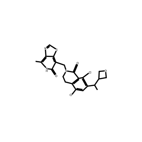 Cc1[nH]c(=O)c(CN2CCc3c(Cl)cc(C(C)C4COC4)c(Cl)c3C2=O)c2scnc12